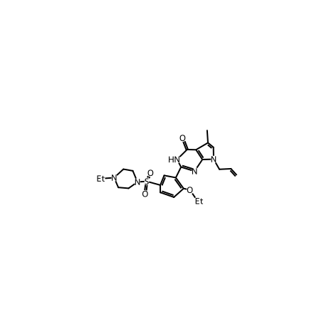 C=CCn1cc(C)c2c(=O)[nH]c(-c3cc(S(=O)(=O)N4CCN(CC)CC4)ccc3OCC)nc21